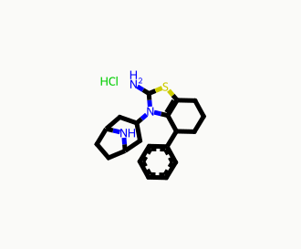 Cl.NC1SC2=C(C(c3ccccc3)CCC2)N1C1CC2CCC(C1)N2